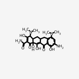 CN(C)c1cc(N)c(O)c2c1CC1CC3C(N(C)C)C(O)=C(C(N)=O)C(=O)C3(O)C(O)=C1C2=O